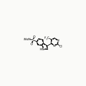 CNS(=O)(=O)c1ccc2c(-c3nc(Cl)ncc3C(F)(F)F)c[nH]c2c1